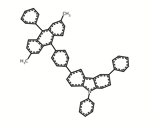 Cc1ccc2c(-c3ccc(-c4ccc5c(c4)c4cc(-c6ccccc6)ccc4n5-c4ccccc4)cc3)c3cc(C)ccc3c(-c3ccccc3)c2c1